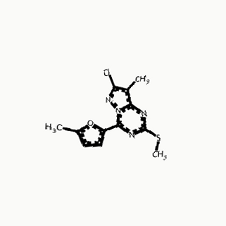 CSc1nc(-c2ccc(C)o2)n2nc(Cl)c(C)c2n1